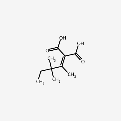 CCC(C)(C)C(C)=C(C(=O)O)C(=O)O